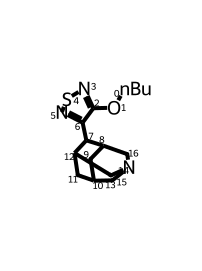 CCCCOc1nsnc1C1C2CC3CC1CN(C3)C2